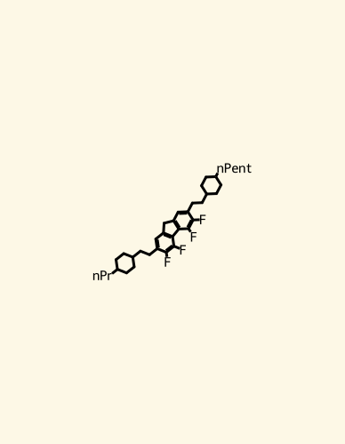 CCCCCC1CCC(CCc2cc3c(c(F)c2F)-c2c(cc(CCC4CCC(CCC)CC4)c(F)c2F)C3)CC1